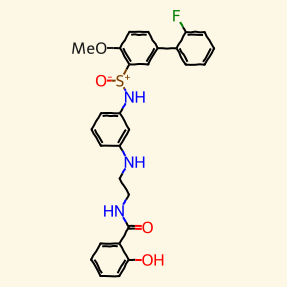 COc1ccc(-c2ccccc2F)cc1[S+]([O-])Nc1cccc(NCCNC(=O)c2ccccc2O)c1